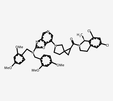 COc1ccc(CN(Cc2ccc(OC)cc2OC)c2nc3cncc(N4CCC5(CC5C(=O)N5CCc6cc(Cl)cc(Cl)c6[C@@H]5C)C4)c3o2)c(OC)c1